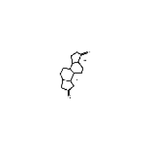 C[C@]12CC(=O)CC1CCC1C2CC[C@]2(C)C(=O)CCC12